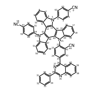 N#Cc1ccc(-n2c3ccccc3c3c2c2c4ccccc4n(-c4ccc(-c5nc(-c6ccccc6)nc6ccccc56)cc4C#N)c2c2c4ccccc4n(-c4ccc(C#N)cc4)c32)cc1